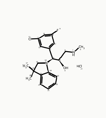 CNC[C@@H](O)[C@H](c1cc(F)cc(Cl)c1)N1CC(C)(C)c2ccccc21.Cl